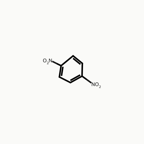 O=[N+]([O-])c1ccc([N+](=O)[O-])cc1